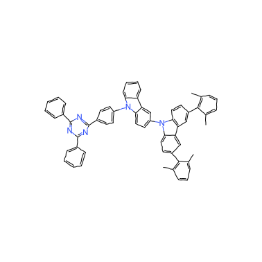 Cc1cccc(C)c1-c1ccc2c(c1)c1cc(-c3c(C)cccc3C)ccc1n2-c1ccc2c(c1)c1ccccc1n2-c1ccc(-c2nc(-c3ccccc3)nc(-c3ccccc3)n2)cc1